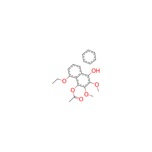 CCOc1cccc2c(O)c(OC)c(OC)c(OC(C)=O)c12.c1ccccc1